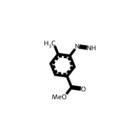 COC(=O)c1ccc(C)c(N=N)c1